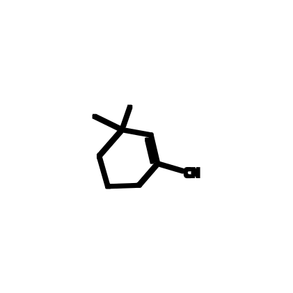 CC1(C)C=C(C#N)CCC1